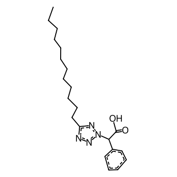 CCCCCCCCCCCCc1nnn(C(C(=O)O)c2ccccc2)n1